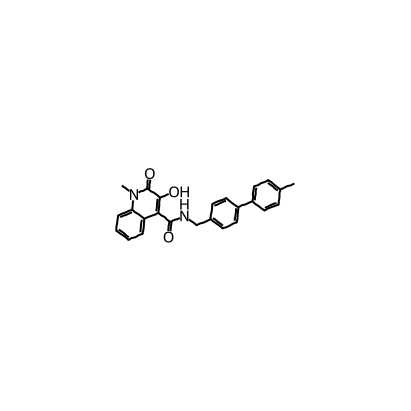 Cc1ccc(-c2ccc(CNC(=O)c3c(O)c(=O)n(C)c4ccccc34)cc2)cc1